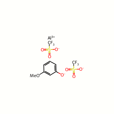 COc1cccc([O-])c1.O=S(=O)([O-])C(F)(F)F.O=S(=O)([O-])C(F)(F)F.[Al+3]